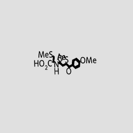 COc1ccc(C(=O)C(CC(=O)N[C@@H](CSC)C(=O)O)SC(C)=O)cc1